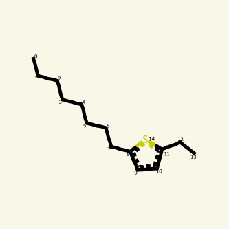 CCCCCCCCc1ccc(CC)s1